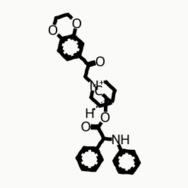 O=C(C[N+]12CCC(CC1)[C@@H](OC(=O)C(Nc1ccccc1)c1ccccc1)C2)c1ccc2c(c1)OCCO2